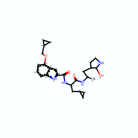 N#CC(CC1CCNC1O)NC(=O)C(CC1CC1)NC(=O)c1cc2c(OCC3CC3)cccc2[nH]1